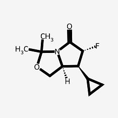 CC1(C)OC[C@@H]2[C@H](C3CC3)[C@@H](F)C(=O)N21